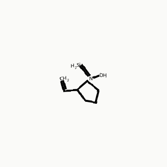 C=CC1CCCC1.ON=[SiH2]